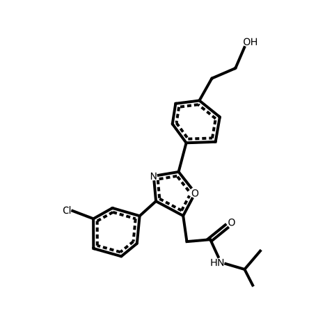 CC(C)NC(=O)Cc1oc(-c2ccc(CCO)cc2)nc1-c1cccc(Cl)c1